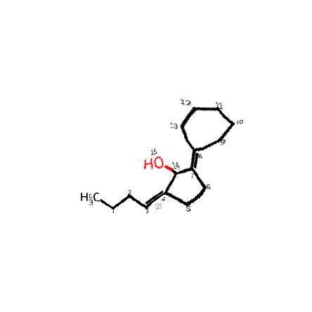 CCC/C=C1/CCC(=C2CCCCC2)C1O